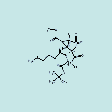 COC(=O)[C@@H]1[C@@H]2[C@H]1S(=O)(=O)C[C@]2(C(=O)OC)N(NC(=O)OC(C)(C)C)C(=O)CCCSC